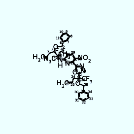 C=CCC(OCc1ccccc1)C(C)(C)Nc1nc(-c2nnc([C@@](CC=C)(OCc3ccccc3)C(F)(F)F)o2)c([N+](=O)[O-])cc1C(F)(F)F